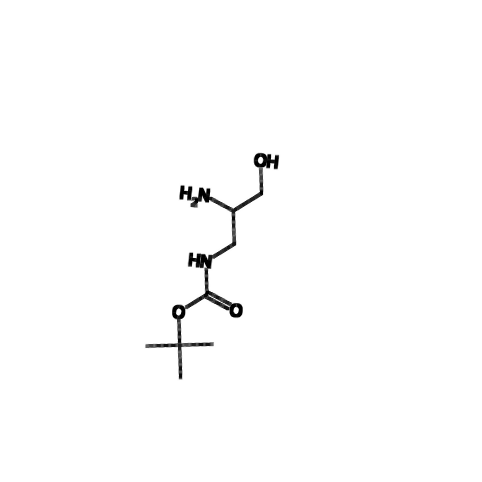 CC(C)(C)OC(=O)NCC(N)CO